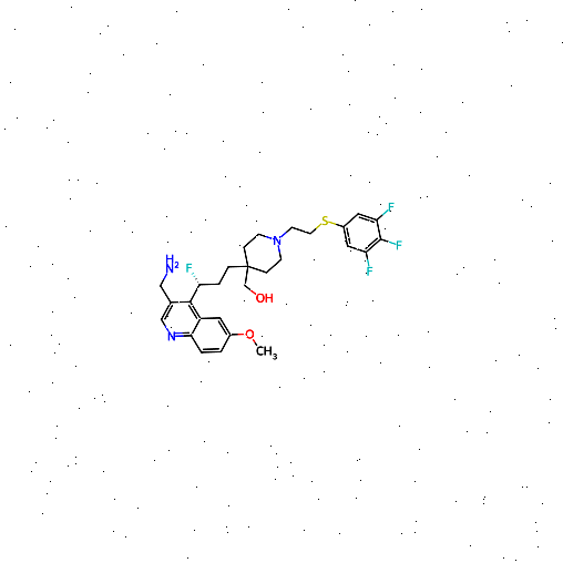 COc1ccc2ncc(CN)c([C@H](F)CCC3(CO)CCN(CCSc4cc(F)c(F)c(F)c4)CC3)c2c1